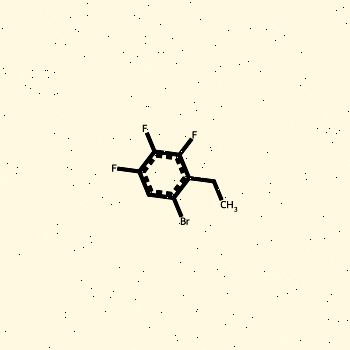 CCc1c(Br)cc(F)c(F)c1F